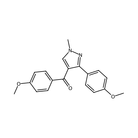 COc1ccc(C(=O)c2cn(C)nc2-c2ccc(OC)cc2)cc1